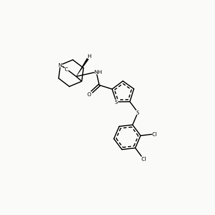 O=C(N[C@H]1CN2CCC1CC2)c1ccc(Sc2cccc(Cl)c2Cl)s1